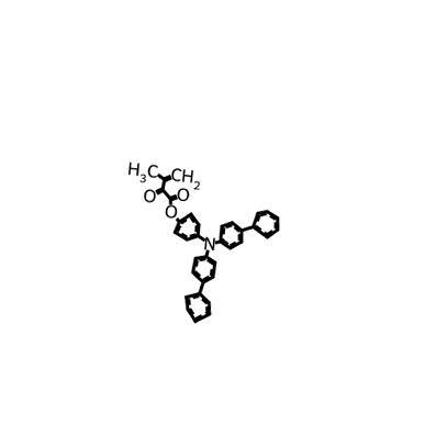 C=C(C)C(=O)C(=O)Oc1ccc(N(c2ccc(-c3ccccc3)cc2)c2ccc(-c3ccccc3)cc2)cc1